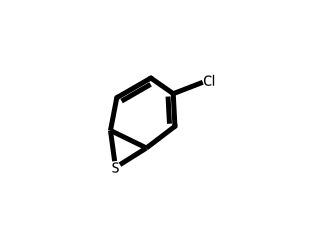 ClC1=CC2SC2C=C1